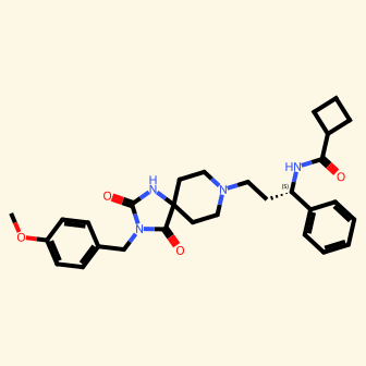 COc1ccc(CN2C(=O)NC3(CCN(CC[C@H](NC(=O)C4CCC4)c4ccccc4)CC3)C2=O)cc1